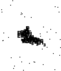 CC[Si](CC)(CC)OC(CN(CC1(C)CC1)C(=O)c1cnn([C@H]2CC[C@](C)(C(C)=O)CC2)c1C)c1c(Cl)cc(F)cc1Cl